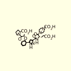 CC(Oc1ccccc1-c1cc(C(=O)N[C@@H](CCC(=O)O)C(=O)N2CCN(C(=O)O)CC2)n[nH]1)C(=O)N1CCC[C@H]1C(=O)O